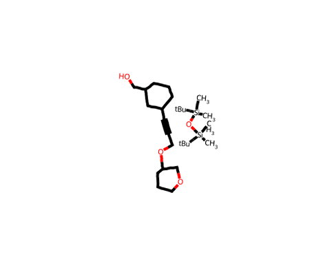 CC(C)(C)[Si](C)(C)O[Si](C)(C)C(C)(C)C.OCC1CCCC(C#CCOC2CCCOC2)C1